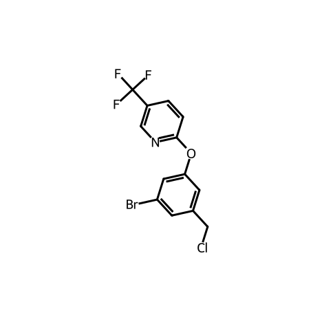 FC(F)(F)c1ccc(Oc2cc(Br)cc(CCl)c2)nc1